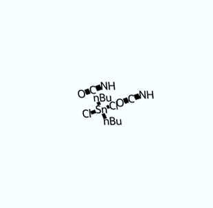 CCC[CH2][Sn]([Cl])([Cl])[CH2]CCC.N=C=O.N=C=O